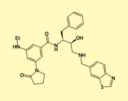 CCNc1cc(C(=O)N[C@@H](Cc2ccccc2)[C@@H](O)CNCc2ccc3ncsc3c2)cc(N2CCCC2=O)c1